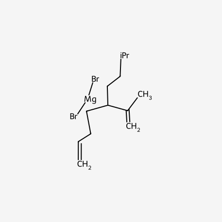 [Br][Mg][Br].[CH2]C(C)CCC(CCC=C)C(=C)C